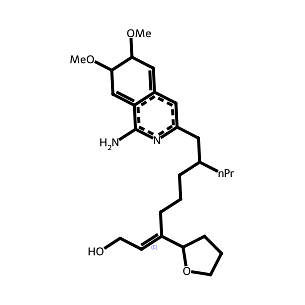 CCCC(CCC/C(=C\CO)C1CCCO1)Cc1cc2c(c(N)n1)=CC(OC)C(OC)C=2